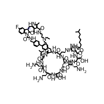 CCN(CC)CCNC(=O)c1c(C)[nH]c(/C=C2\C(=O)N(C(=O)NCc3ccc(-c4ccc(CC5NC(=O)C(CCN)NC(=O)C(NC(=O)[C@@H](CCN)NC(=O)[C@@H](NC(=O)[C@@H](CCN)NC(=O)CCCCCC(C)C)[C@@H](C)O)CCNC(=O)[C@@H]([C@@H](C)O)NC(=O)[C@@H](CCN)NC(=O)[C@@H](CCN)NC(=O)[C@@H](CC(C)C)NC5=O)cc4)cc3)c3ccc(F)cc32)c1C